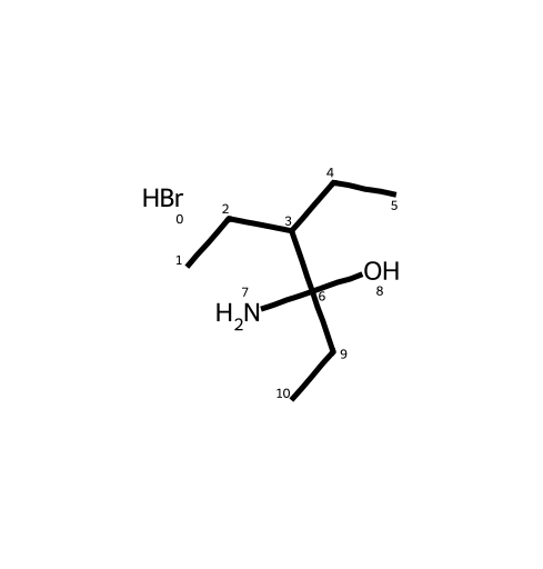 Br.CCC(CC)C(N)(O)CC